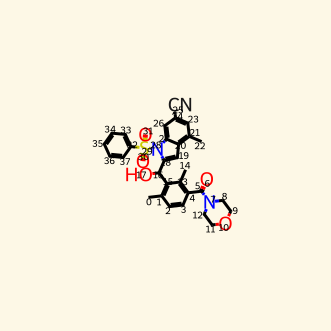 Cc1ccc(C(=O)N2CCOCC2)c(C)c1C(O)c1cc2c(C)cc(C#N)cc2n1S(=O)(=O)c1ccccc1